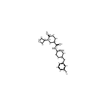 O=C(NC1CCC(Cc2cccc(F)c2)CN1)C1CCC(=O)N(C2COC2)C1